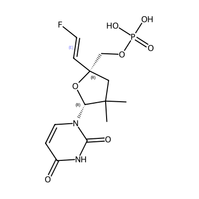 CC1(C)C[C@@](/C=C/F)(COP(=O)(O)O)O[C@H]1n1ccc(=O)[nH]c1=O